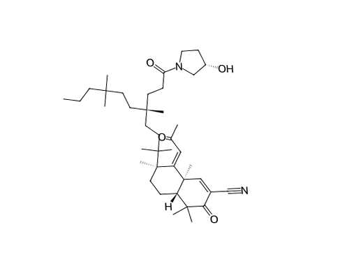 CCCC(C)(C)CC[C@](C)(CCC(=O)N1CC[C@H](O)C1)CCC(C)(C)[C@]1(C)CC[C@H]2C(C)(C)C(=O)C(C#N)=C[C@]2(C)/C1=C/C(C)=O